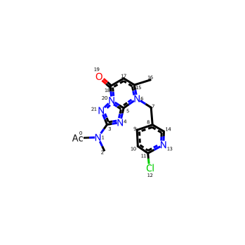 CC(=O)N(C)c1nc2n(Cc3ccc(Cl)nc3)c(C)cc(=O)n2n1